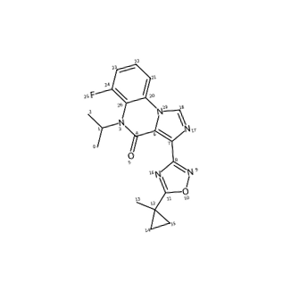 CC(C)n1c(=O)c2c(-c3noc(C4(C)CC4)n3)ncn2c2cccc(F)c21